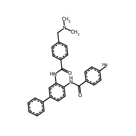 CN(C)Cc1ccc(C(=O)Nc2cc(-c3ccccc3)ccc2NC(=O)c2ccc([18F])cc2)cc1